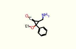 CCOC1(c2ccccc2)C(=C=O)C1CN